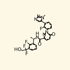 C[C@@H](NC(=O)c1ccc(=O)n(-c2cccc(-c3cnnn3C)c2F)n1)c1cccc(C(F)(F)CO)c1F